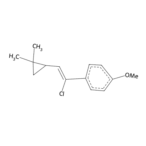 COc1ccc(C(Cl)=CC2CC2(C)C)cc1